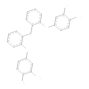 N#Cc1ccc(Oc2ccccc2Cc2ccccc2Oc2ccc(C#N)c(C#N)c2)cc1C#N